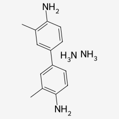 Cc1cc(-c2ccc(N)c(C)c2)ccc1N.N.N